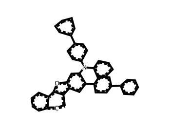 c1ccc(-c2ccc(-c3cc4c(cc3N(c3ccccc3)c3ccc(-c5ccccc5)cc3)oc3c5ccccc5ccc43)cc2)cc1